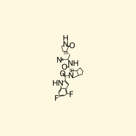 N#CC(C[C@@H]1CCNC1=O)NC(=O)[C@@H]1C2CCCC2CN1C(=O)c1cc2c(F)cc(F)cc2[nH]1